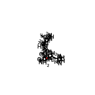 [2H]c1c([2H])c([2H])c(C#Cc2c([2H])c([2H])c([C@H]3N(c4cccc(C(N)=O)c4)C(=O)[C@@H](CC(=O)NC([2H])([2H])C([2H])([2H])c4ccc(OC([2H])([2H])[2H])c(OCC)c4)[S@@+]3[O-])c([2H])c2[2H])c([2H])c1[2H]